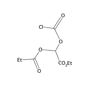 CCOC(=O)C(OC(=O)Cl)OC(=O)CC